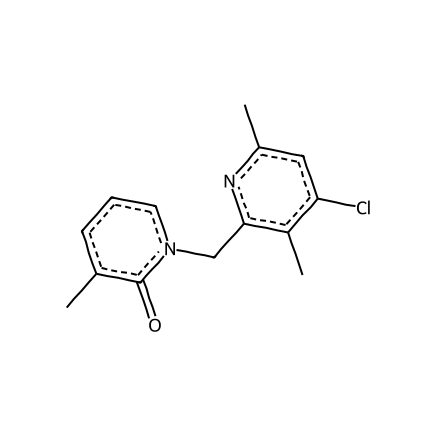 Cc1cc(Cl)c(C)c(Cn2cccc(C)c2=O)n1